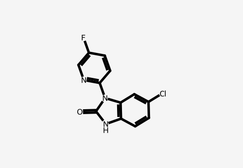 O=c1[nH]c2ccc(Cl)cc2n1-c1ccc(F)cn1